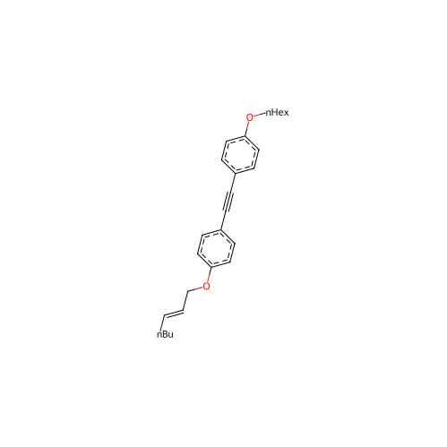 CCCCC=CCOc1ccc(C#Cc2ccc(OCCCCCC)cc2)cc1